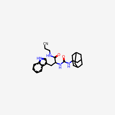 N#CCCNC(=O)C(Cc1c[nH]c2ccccc12)NC(=O)NC12CC3CC(CC(C3)C1)C2